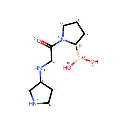 O=C(CNC1CCNC1)N1CCC[C@H]1B(O)O